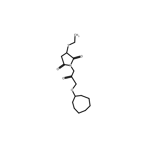 CCSC1CC(=O)N(CC(=O)COC2CCCCCCC2)C1=O